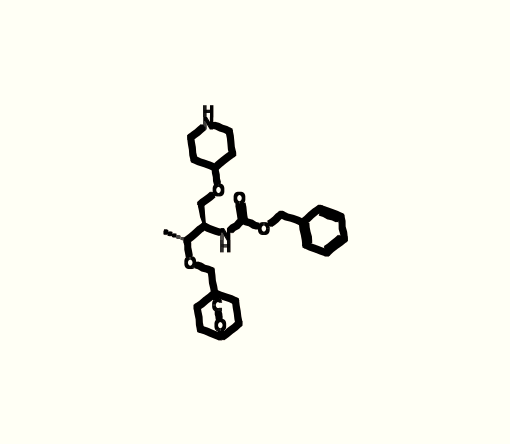 C[C@@H](OCC12CCC(CC1)OC2)[C@@H](COC1CCNCC1)NC(=O)OCc1ccccc1